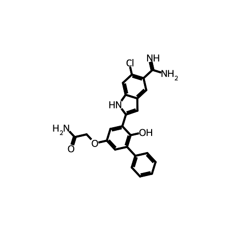 N=C(N)c1cc2cc(-c3cc(OCC(N)=O)cc(-c4ccccc4)c3O)[nH]c2cc1Cl